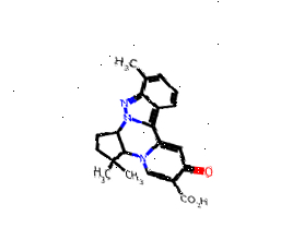 Cc1cccc2c3n(nc12)C1CCC(C)(C)C1n1cc(C(=O)O)c(=O)cc1-3